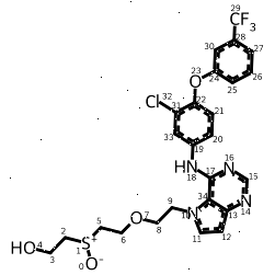 [O-][S+](CCO)CCOCCn1ccc2ncnc(Nc3ccc(Oc4cccc(C(F)(F)F)c4)c(Cl)c3)c21